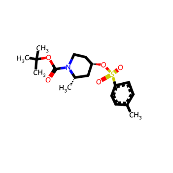 Cc1ccc(S(=O)(=O)O[C@@H]2CCN(C(=O)OC(C)(C)C)[C@@H](C)C2)cc1